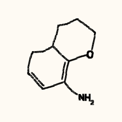 NC1=C2OCCCC2CC=C1